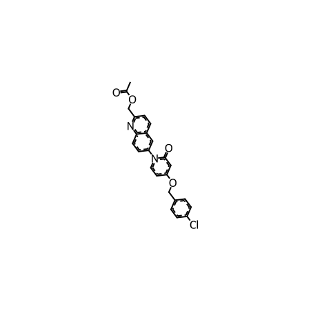 CC(=O)OCc1ccc2cc(-n3ccc(OCc4ccc(Cl)cc4)cc3=O)ccc2n1